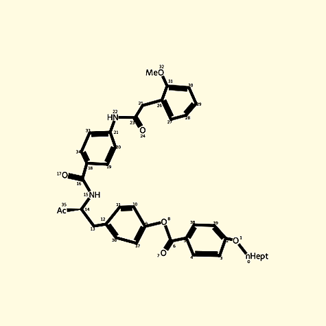 CCCCCCCOc1ccc(C(=O)Oc2ccc(C[C@H](NC(=O)c3ccc(NC(=O)Cc4ccccc4OC)cc3)C(C)=O)cc2)cc1